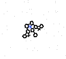 CC1(C)c2ccccc2-c2cc(-c3cccc4c5cccc(-c6ccc7c(c6)-c6ccccc6C7(C)C)c5n(-c5ccc(-c6ccccc6)cc5)c34)ccc21